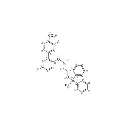 Cc1cc(-c2cc(F)ccc2O[C@H](C)CCO[Si](c2ccccc2)(c2ccccc2)C(C)(C)C)ccc1C(=O)O